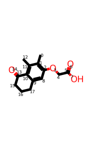 Cc1c(OCC(=O)O)cc2c(c1C)C(=O)CCC2